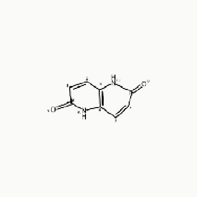 O=c1ccc2[nH]c(=O)ccc2[nH]1